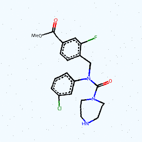 COC(=O)c1ccc(CN(C(=O)N2CCNCC2)c2cccc(Cl)c2)c(F)c1